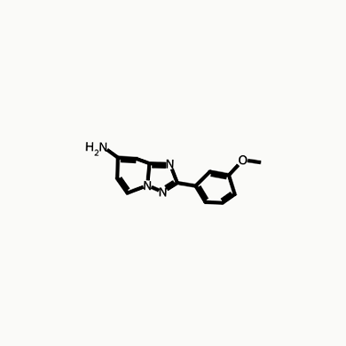 COc1cccc(-c2nc3cc(N)ccn3n2)c1